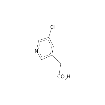 O=C(O)Cc1cncc(Cl)c1